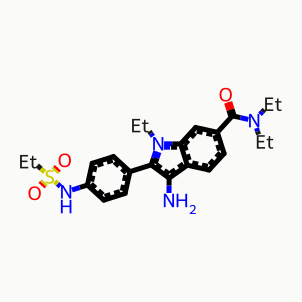 CCN(CC)C(=O)c1ccc2c(N)c(-c3ccc(NS(=O)(=O)CC)cc3)n(CC)c2c1